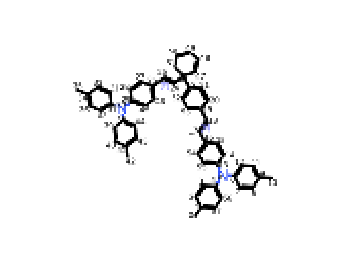 Cc1ccc(N(c2ccc(C)cc2)c2ccc(/C=C/c3ccc(C4(/C=C/c5ccc(N(c6ccc(C)cc6)c6ccc(C)cc6)cc5)C=CC=CC4)cc3)cc2)cc1